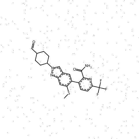 CSc1cc2nn(C3CCC(C=O)CC3)cc2cc1-c1ccc(C(F)(F)F)nc1C(N)=O